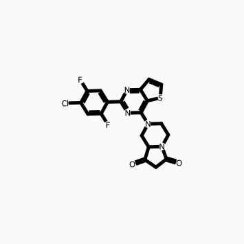 O=C1CC(=O)N2CCN(c3nc(-c4cc(F)c(Cl)cc4F)nc4ccsc34)CC12